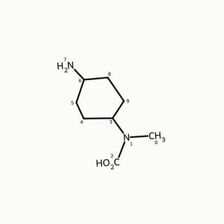 CN(C(=O)O)C1CCC(N)CC1